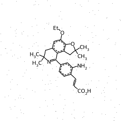 CCOc1cc2c(c3c1OC(C)(C)C3)C(c1ccc(C=CC(=O)O)c(N)c1)=NC(C)(C)C2